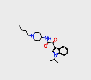 CCCCN1CCC(NC(=O)C(=O)c2cn(C(C)C)c3ccccc23)CC1